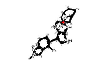 Cn1cc2c(F)c(-c3c[nH]c4nc(N5C6CCC5CC(N)C6)cnc34)ccc2n1